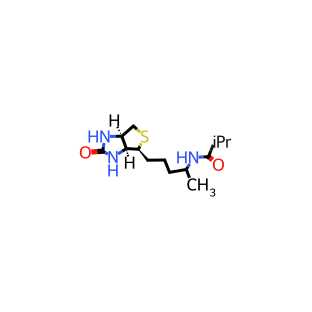 CC(CCC[C@@H]1SC[C@@H]2NC(=O)N[C@@H]21)NC(=O)C(C)C